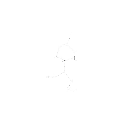 CCCCCC(NS(=O)(=O)O)c1ccc(F)cc1